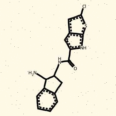 NC1c2ccccc2CC1NC(=O)c1cc2cc(Cl)sc2[nH]1